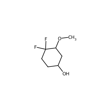 COC1CC(O)CCC1(F)F